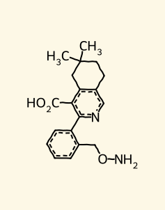 CC1(C)CCc2cnc(-c3ccccc3CON)c(C(=O)O)c2C1